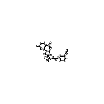 Cc1ccc([N+](=O)[O-])c(N2CCC3(C2)ON=C3C#Cc2cccc(C#N)c2)n1